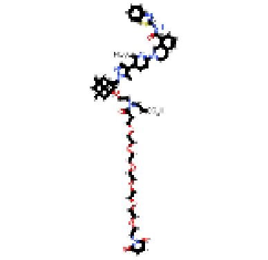 Cc1c(-c2ccc(N3CCc4cccc(C(=O)Nc5nc6ccccc6s5)c4C3)nc2C(=O)O)cnn1CC12CC3(C)CC4(C)CC(OCCN(CCS(=O)(=O)O)C(=O)CCOCCOCCOCCOCCOCCOCCN5C(=O)C=CC5=O)(C1)C342